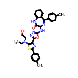 CCN(CCO)c1sc(-c2ccc(C)cc2)nc1-c1nnc(NC2N=C(C3=CCC(C)C=C3)C3=CCCC=C3NC2=O)o1